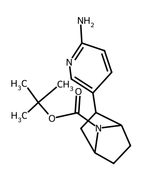 CC(C)(C)OC(=O)N1C2CCC1C(c1ccc(N)nc1)C2